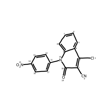 N#Cc1c(Cl)c2ccccc2n(-c2ccc([N+](=O)[O-])cc2)c1=O